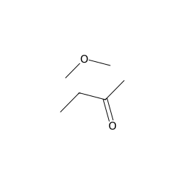 CCC(C)=O.COC